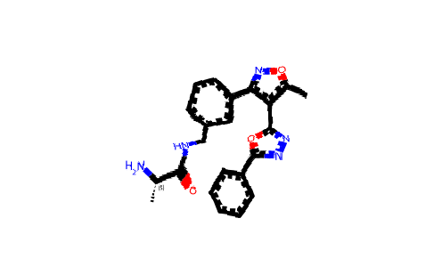 Cc1onc(-c2cccc(CNC(=O)[C@H](C)N)c2)c1-c1nnc(-c2ccccc2)o1